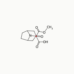 COC(=O)C(C(=O)O)N1C2CCC1CC(=O)C2